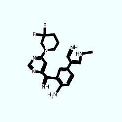 CN/C=C(\C=N)c1ccc(N)c(C(=N)c2cc(N3CCCC(F)(F)C3)ncn2)c1